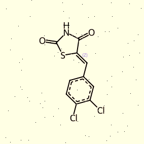 O=C1NC(=O)/C(=C/c2ccc(Cl)c(Cl)c2)S1